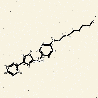 CCCCCCCCOc1ccc(Nc2nc(-c3cnccn3)cs2)cc1